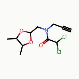 C#CCN(CC1OC(C)C(C)O1)C(=O)C(Cl)Cl